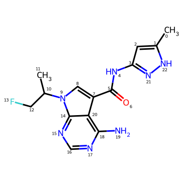 Cc1cc(NC(=O)c2cn(C(C)CF)c3ncnc(N)c23)n[nH]1